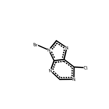 Clc1ncnc2c1ncn2Br